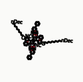 [C-]#[N+]/C(c1cnc2cc(-c3ccccc3)ccc2n1)=c1\c2c(-c3ccc(OCCCCCCCCCCCCCCCCCCCC)cc3)n(B(c3ccccc3)c3ccccc3)/c(=C(/C#N)c3cnc4cc(-c5ccccc5)ccc4n3)c2c(-c2ccc(OCCCCCCCCCCCCCCCCCCCC)cc2)n1B(c1ccccc1)c1ccccc1